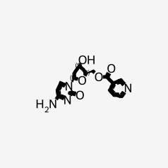 Nc1ccn([C@H]2C[C@H](O)[C@@H](COC(=O)c3cccnc3)O2)c(=O)n1